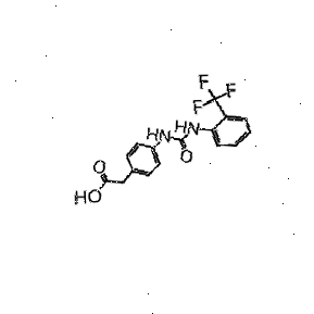 O=C(O)Cc1ccc(NC(=O)Nc2ccccc2C(F)(F)F)cc1